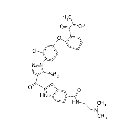 CN(C)CCNC(=O)c1ccc2[nH]c(C(=O)c3cnn(-c4ccc(Oc5ccccc5C(=O)N(C)C)cc4Cl)c3N)cc2c1